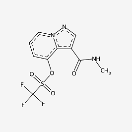 CNC(=O)c1cnn2cccc(OS(=O)(=O)C(F)(F)F)c12